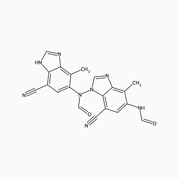 Cc1c(N(C=O)n2cnc3c(C)c(NC=O)cc(C#N)c32)cc(C#N)c2[nH]cnc12